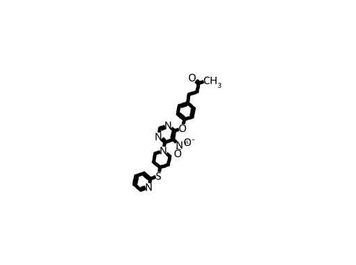 CC(=O)CCc1ccc(Oc2ncnc(N3CCC(Sc4ccccn4)CC3)c2[N+](=O)[O-])cc1